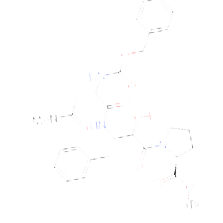 CNC(=O)C[C@H](NC(=O)OCc1ccccc1)C(=O)N[C@@H](Cc1ccccc1)C(O)C(=O)N1CCC[C@H]1C(=O)OC(C)(C)C